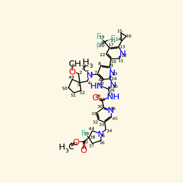 COCC1(CN(C)c2cc(-c3cnc(C4CC4)c(C(F)(F)F)c3)nc3nc(NC(=O)c4ccc(CN5CCC(F)(C(=O)OC)C5)cn4)[nH]c23)CCCC1